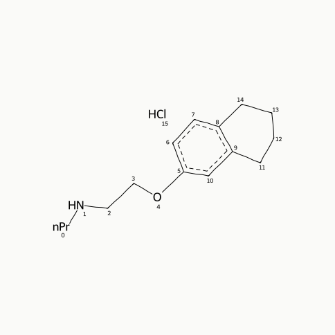 CCCNCCOc1ccc2c(c1)CCCC2.Cl